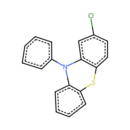 Clc1ccc2c(c1)N(c1ccccc1)c1ccccc1S2